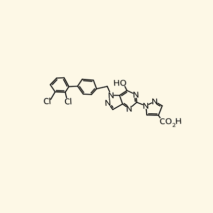 O=C(O)c1cnn(-c2nc(O)c3c(cnn3Cc3ccc(-c4cccc(Cl)c4Cl)cc3)n2)c1